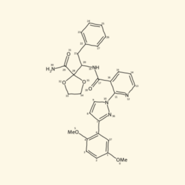 COc1ccc(OC)c(-c2ccn(-c3ncccc3C(=O)NC(Cc3ccccc3)C3(C(N)=O)OCCO3)n2)c1